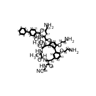 Cc1cc(-c2ccccc2)ccc1C(=O)N[C@@H](CCCN)C(=O)N(C)[C@@H]1C(=O)N[C@@H](C)C(=O)N[C@H](C(=O)NCC#N)Cc2ccc(OCCN)c(c2)-c2cc1ccc2OCCN